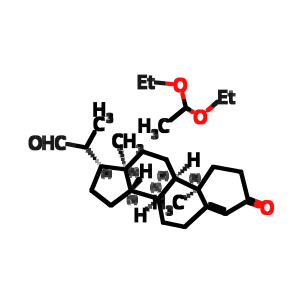 CC(C=O)[C@H]1CC[C@H]2[C@@H]3CCC4=CC(=O)CC[C@]4(C)[C@@H]3CC[C@]12C.CCOC(C)OCC